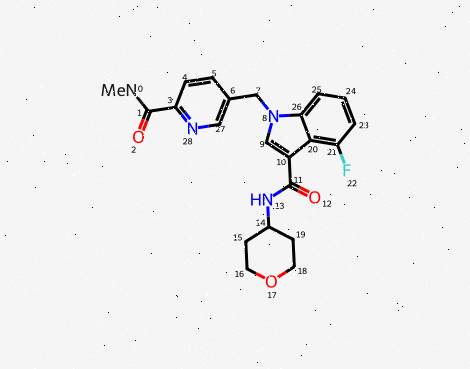 CNC(=O)c1ccc(Cn2cc(C(=O)NC3CCOCC3)c3c(F)cccc32)cn1